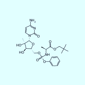 C[C@H](NP(=O)(OC[C@H]1O[C@@H](n2ccc(N)nc2=O)[C@](C)(O)[C@@H]1O)Oc1ccccc1)C(=O)OCC(C)(C)C